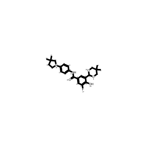 CC1(C)COC(c2cc(C(=O)Nc3ccc(N4CCC(C)(C)C4)cc3)cc(F)c2O)OC1